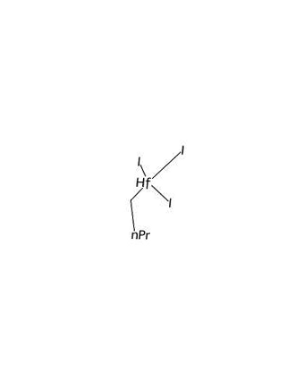 CCC[CH2][Hf]([I])([I])[I]